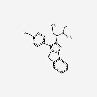 CCC(N(C)C)n1nc2c(c1-c1ccc(Cl)cc1)Cc1ccccc1-2